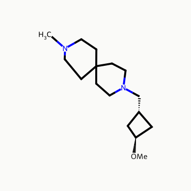 CO[C@H]1C[C@H](CN2CCC3(CCN(C)CC3)CC2)C1